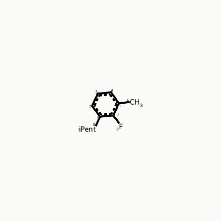 CCC[C](C)c1cccc(C)c1F